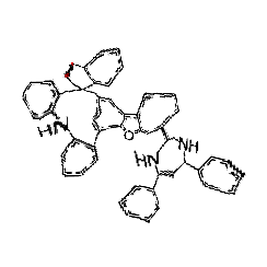 C1=C(c2ccccc2)NC(c2cccc3c2oc2c4cc(cc23)C2(c3ccccc3Nc3ccccc3-4)c3ccccc3-c3ccccc32)NC1c1ccccc1